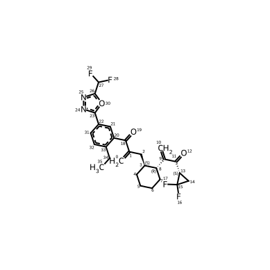 C=C(C[C@@H]1CCCC[C@H]1C(=C)C(=O)[C@@H]1CC1(F)F)C(=O)c1cc(-c2nnc(C(F)F)o2)ccc1CC